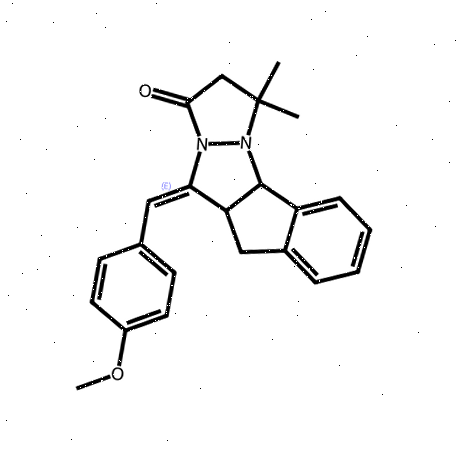 COc1ccc(/C=C2\C3Cc4ccccc4C3N3N2C(=O)CC3(C)C)cc1